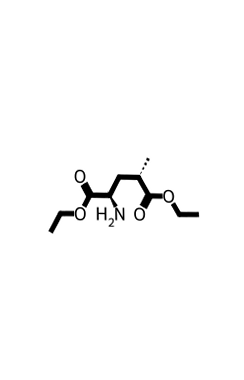 CCOC(=O)[C@H](N)C[C@H](C)C(=O)OCC